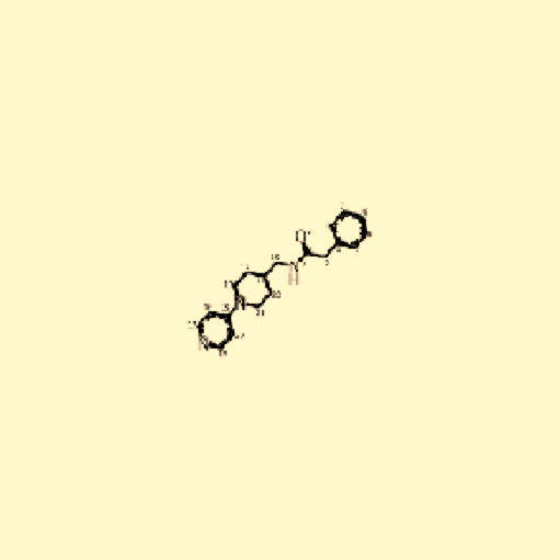 O=C(Cc1ccccc1)NCC1CCN(c2ccncc2)CC1